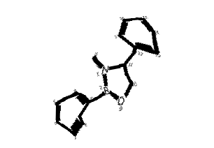 CN1B(c2ccccc2)OCC1c1ccccc1